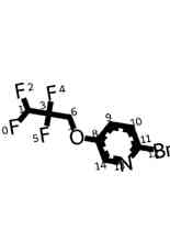 FC(F)C(F)(F)COc1ccc(Br)nc1